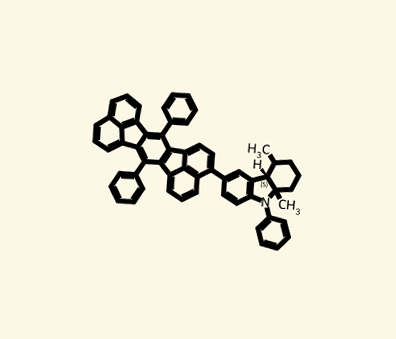 CC1CCCC2(C)[C@@H]1c1cc(-c3ccc4c5c(-c6ccccc6)c6c7cccc8cccc(c6c(-c6ccccc6)c5c5cccc3c54)c87)ccc1N2c1ccccc1